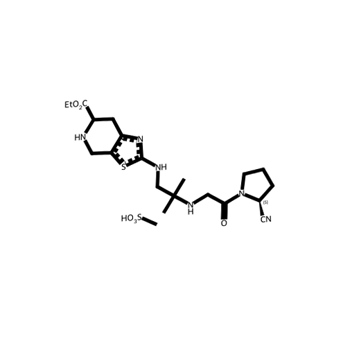 CCOC(=O)C1Cc2nc(NCC(C)(C)NCC(=O)N3CCC[C@H]3C#N)sc2CN1.CS(=O)(=O)O